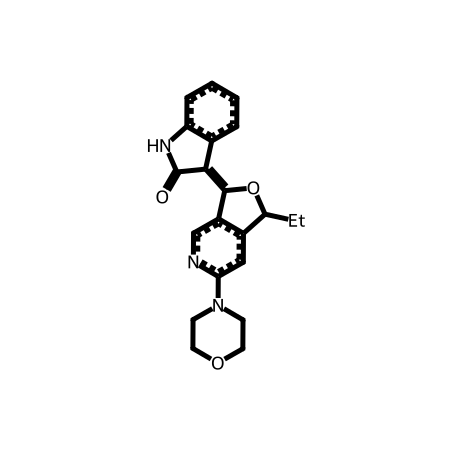 CCC1OC(=C2C(=O)Nc3ccccc32)c2cnc(N3CCOCC3)cc21